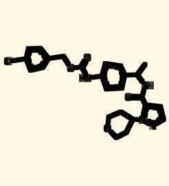 CC(NC(=O)c1ccnn1C1CCOCC1)c1ccc(NC(=O)OCc2ccc(Cl)cc2)cc1